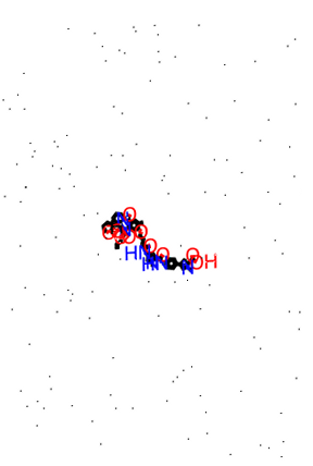 C=CCOC(=O)N1c2cc(OCCCC(=O)Nc3cc(C(=O)Nc4ccc(-c5cc(C(=O)O)n(C)c5)cc4)n(C)c3)c(C)cc2C(=O)N2CCCC[C@H]2C1OC1CCCCO1